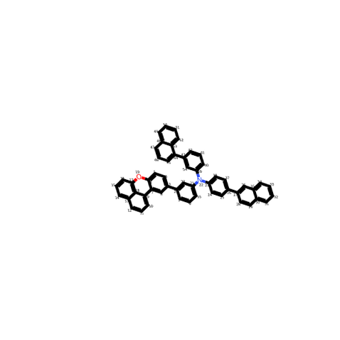 c1cc(-c2ccc3c(c2)-c2cccc4cccc(c24)O3)cc(N(c2ccc(-c3ccc4ccccc4c3)cc2)c2cccc(-c3cccc4ccccc34)c2)c1